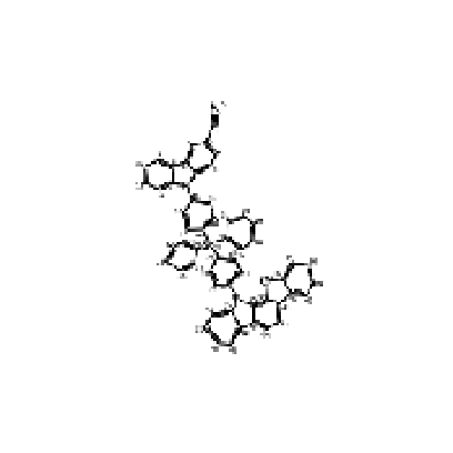 N#Cc1ccc2c(c1)c1ccccc1n2-c1ccc([Si](c2ccccc2)(c2ccccc2)c2ccc(-n3c4ccccc4c4ccc5c6ccccc6oc5c43)cc2)nc1